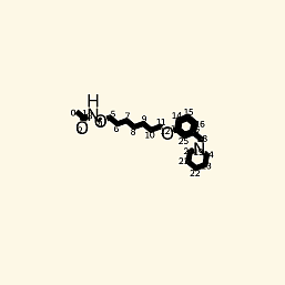 CC(=O)NOCCCCCCCOc1cccc(CN2CCCCC2)c1